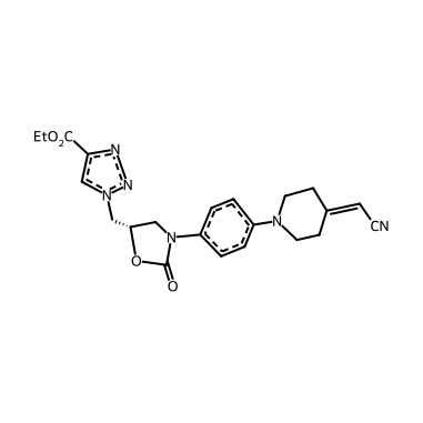 CCOC(=O)c1cn(C[C@@H]2CN(c3ccc(N4CCC(=CC#N)CC4)cc3)C(=O)O2)nn1